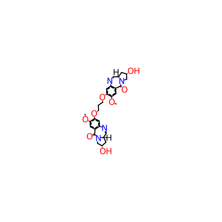 COc1cc2c(cc1OCCCOc1cc3c(cc1OC)C(=O)N1C[C@@H](O)C[C@H]1C=N3)N=C[C@@H]1C[C@H](O)CN1C2=O